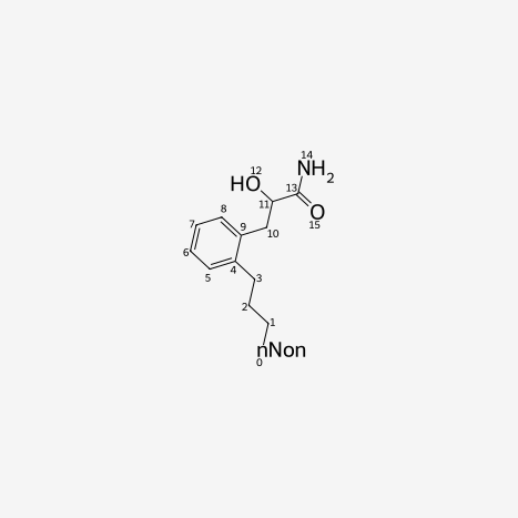 CCCCCCCCCCCCc1ccccc1CC(O)C(N)=O